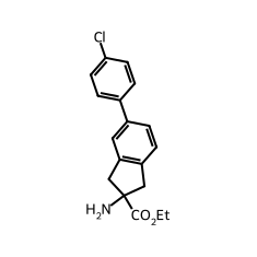 CCOC(=O)C1(N)Cc2ccc(-c3ccc(Cl)cc3)cc2C1